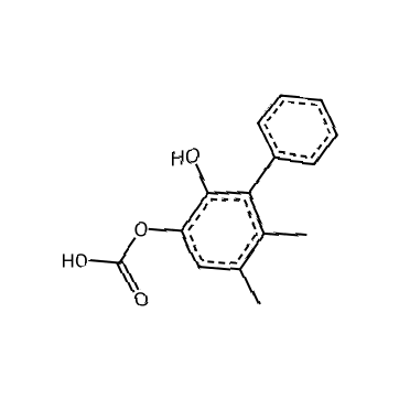 Cc1cc(OC(=O)O)c(O)c(-c2ccccc2)c1C